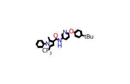 Cc1cc(C(=O)Nc2ccc(Oc3ccc(C(C)(C)C)cc3)nc2)c(C)n1-c1ccccc1C(F)(F)F